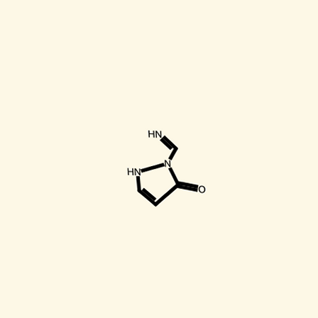 N=Cn1[nH]ccc1=O